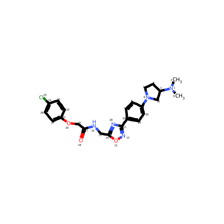 CN(C)C1CCN(c2ccc(-c3noc(CNC(=O)COc4ccc(Cl)cc4)n3)cc2)C1